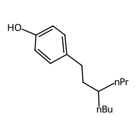 CCCCC(CCC)CCc1ccc(O)cc1